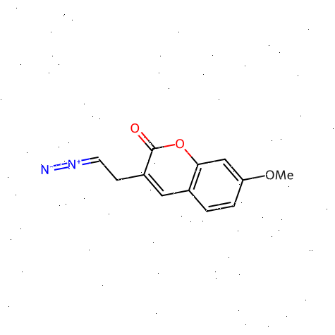 COc1ccc2cc(CC=[N+]=[N-])c(=O)oc2c1